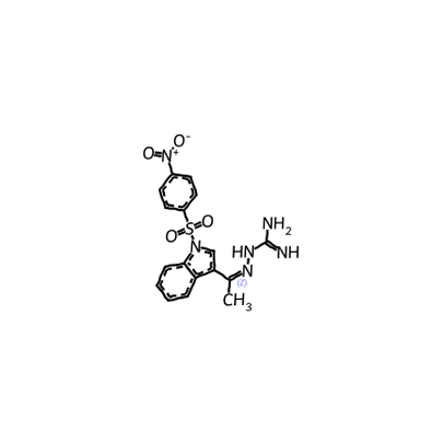 C/C(=N/NC(=N)N)c1cn(S(=O)(=O)c2ccc([N+](=O)[O-])cc2)c2ccccc12